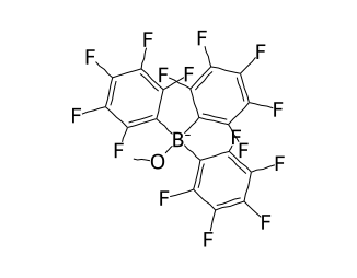 CO[B-](c1c(F)c(F)c(F)c(F)c1F)(c1c(F)c(F)c(F)c(F)c1F)c1c(F)c(F)c(F)c(F)c1F